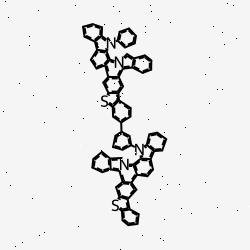 c1ccc(-n2c3ccccc3c3ccc4c5cc6sc7cc(-c8cccc(-n9c%10ccccc%10c%10ccc%11c%12cc%13c(cc%12c%12c%14ccccc%14cn%12c%11c%109)sc9ccccc9%13)c8)ccc7c6cc5c5c6ccccc6cn5c4c32)cc1